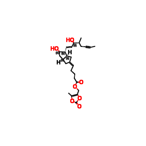 CC#CCC(C)[C@H](O)C=C[C@@H]1[C@H]2CC(=CCCCC(=O)OCc3oc(=O)oc3C)C[C@H]2C[C@H]1O